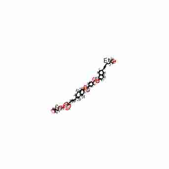 CCC1(CCC#Cc2ccc3cc(OC(=O)c4ccc(C(=O)Oc5ccc6cc(/C=C/C(=O)OCOCC7(CC)COC7)ccc6c5)cc4)ccc3c2)COC1